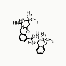 CC1(C)CC(=O)N(Cc2cccc(C(=O)N[C@@H]3c4ccccc4OC(C)(C)[C@H]3O)c2)C(=N)N1